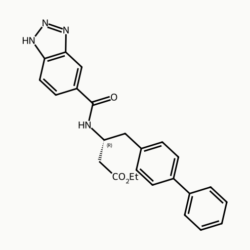 CCOC(=O)C[C@@H](Cc1ccc(-c2ccccc2)cc1)NC(=O)c1ccc2[nH]nnc2c1